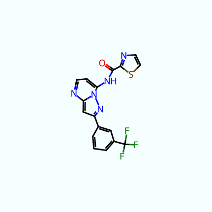 O=C(Nc1ccnc2cc(-c3cccc(C(F)(F)F)c3)nn12)c1nccs1